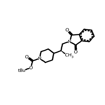 C[C@H](CN1C(=O)c2ccccc2C1=O)C1CCN(C(=O)OC(C)(C)C)CC1